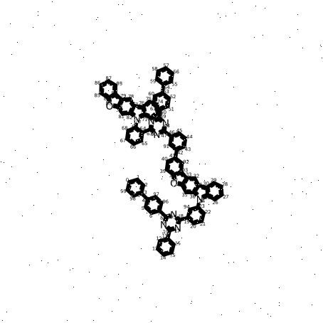 c1ccc(-c2ccc(-c3nc(-c4ccccc4)nc(-c4cccc(-n5c6ccccc6c6cc7c(cc65)oc5ccc(-c6cccc(-c8nc(-c9ccc(-c%10ccccc%10)cc9)nc(-c9ccccc9-n9c%10ccccc%10c%10cc%11c(cc%109)oc9ccccc9%11)n8)c6)cc57)c4)n3)cc2)cc1